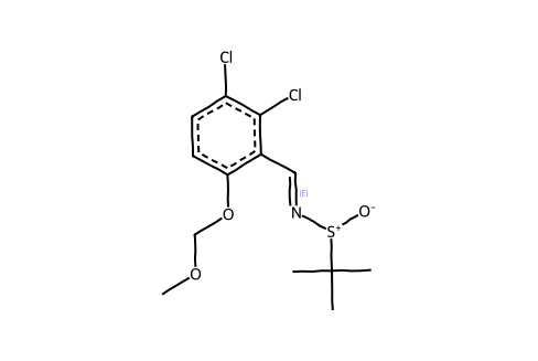 COCOc1ccc(Cl)c(Cl)c1/C=N/[S+]([O-])C(C)(C)C